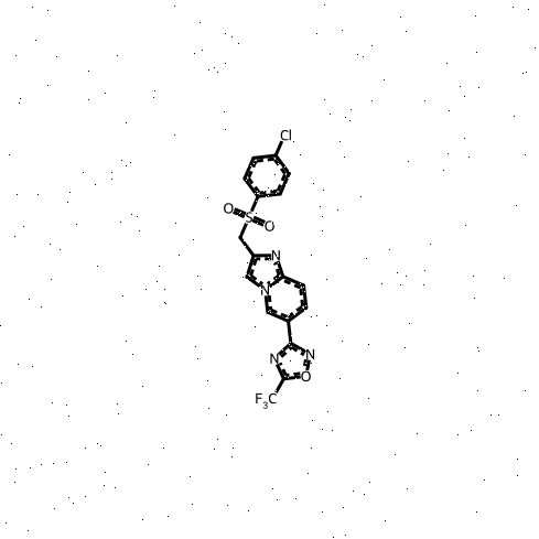 O=S(=O)(Cc1cn2cc(-c3noc(C(F)(F)F)n3)ccc2n1)c1ccc(Cl)cc1